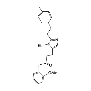 CCn1c(CCC(=O)Cc2ccccc2OC)cnc1CCc1ccc(C)cc1